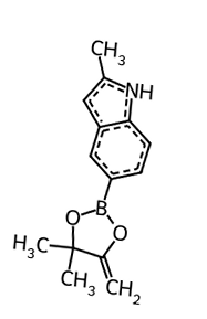 C=C1OB(c2ccc3[nH]c(C)cc3c2)OC1(C)C